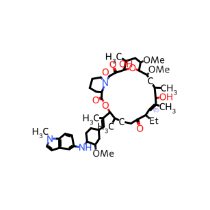 CCC1/C=C(\C)C(O)C(C)CC(OC)C2OC(O)(C(=O)C(=O)N3CCCCC3C(=O)OC(C(C)=CC3CCC(Nc4ccc5c(ccn5C)c4)C(OC)C3)C(C)CCC1=O)C(C)CC2OC